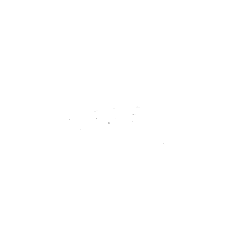 CCOC([C@H]1CC(C)[C@H]2[C@H](O1)[C@H](O)[C@@]1(C)[C@@H]3CC[C@H]4C(C)(C)[C@@H](O[C@H]5CN(CCN(C)C)CCO5)CC[C@@]45C[C@@]35CC[C@]21C)C(C)(C)O